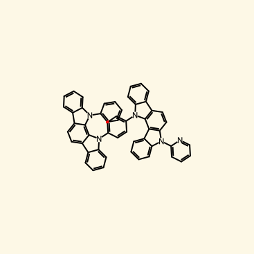 c1ccc(-n2c3ccccc3c3ccc4c5ccccc5n(-c5ccc(-n6c7ccccc7c7ccc8c(c9ccccc9n8-c8ccccn8)c76)cc5)c4c32)cc1